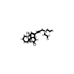 CCCN(CC#CC1=C[C@H]2N3CCCC[C@@H]3C23OC(=O)C=C13)CCC